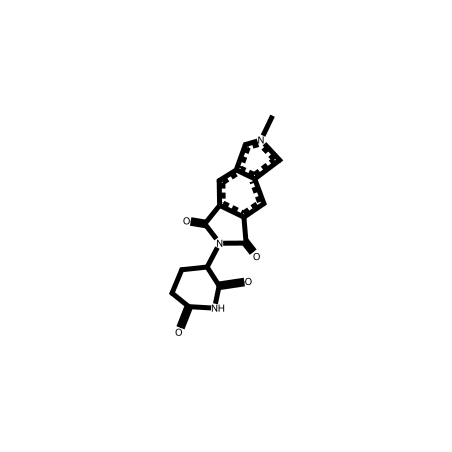 Cn1cc2cc3c(cc2c1)C(=O)N(C1CCC(=O)NC1=O)C3=O